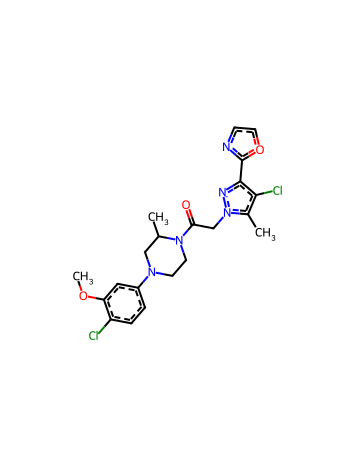 COc1cc(N2CCN(C(=O)Cn3nc(-c4ncco4)c(Cl)c3C)C(C)C2)ccc1Cl